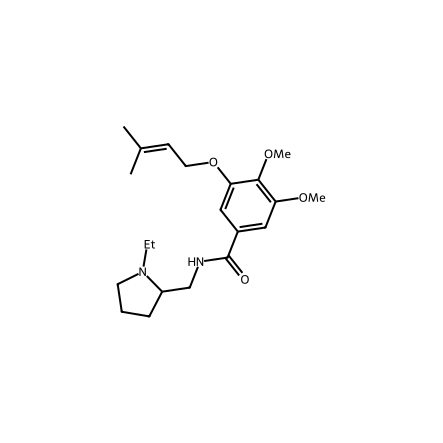 CCN1CCCC1CNC(=O)c1cc(OC)c(OC)c(OCC=C(C)C)c1